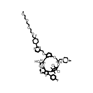 COCCOCCOCCOCC1(F)CCC(c2nccc(COc3ccc4cc3C[C@H](C(=O)O)Oc3ncnc5sc(-c6ccc(F)cc6)c(c35)-c3c(C)c(Cl)c(c(Cl)c3C)O[C@H](CN3CCN(C)CC3)CO4)n2)CC1